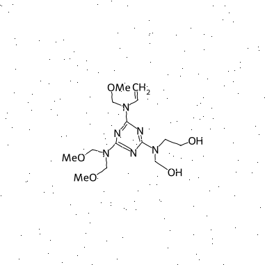 C=CN(COC)c1nc(N(CO)CCO)nc(N(COC)COC)n1